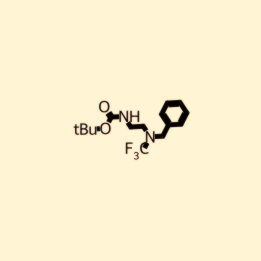 CC(C)(C)OC(=O)NCCN(Cc1ccccc1)C(F)(F)F